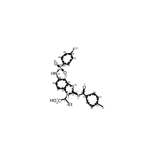 CCC(C(=O)O)n1/c(=N/C(=O)c2ccc(C)cc2)sc2cc(NS(=O)(=O)c3ccc(F)cc3)ccc21